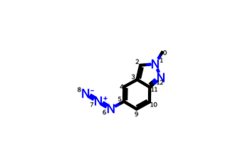 Cn1cc2cc(N=[N+]=[N-])ccc2n1